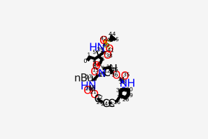 C=C[C@H](C)[C@@](C)(CC(=O)[C@@H]1C[C@@H]2CN1C(=O)[C@H](CCCC)NC(=O)OCCCCCc1cccc(c1)NC(=O)O2)C(=O)NS(=O)(=O)C1CC1